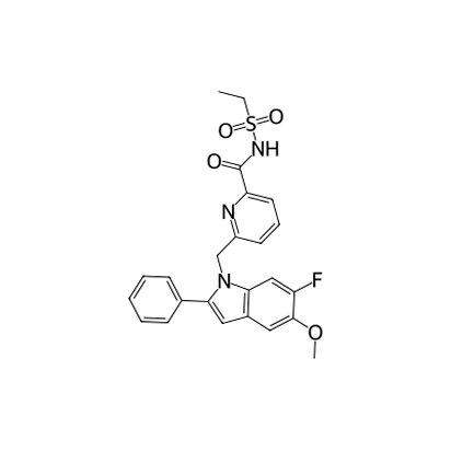 CCS(=O)(=O)NC(=O)c1cccc(Cn2c(-c3ccccc3)cc3cc(OC)c(F)cc32)n1